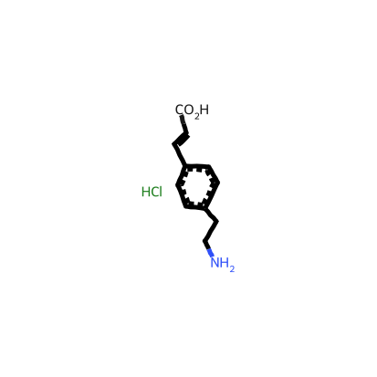 Cl.NCCc1ccc(C=CC(=O)O)cc1